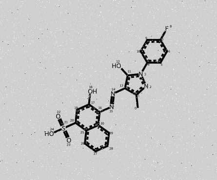 Cc1nn(-c2ccc(F)cc2)c(O)c1/N=N/c1c(O)cc(S(=O)(=O)O)c2ccccc12